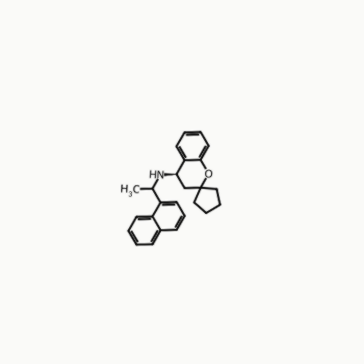 CC(N[C@@H]1CC2(CCCC2)Oc2ccccc21)c1cccc2ccccc12